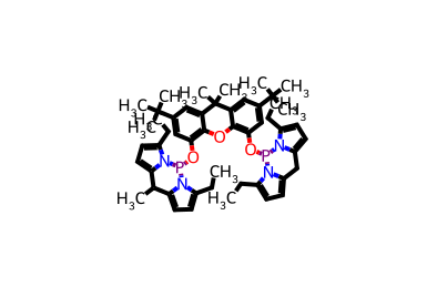 CCc1ccc2n1P(Oc1cc(C(C)(C)C)cc3c1Oc1c(OP4n5c(CC)ccc5C(C)c5ccc(CC)n54)cc(C(C)(C)C)cc1C3(C)C)n1c(CC)ccc1C2